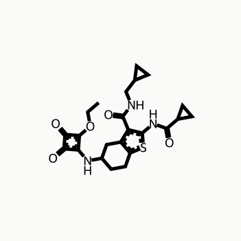 CCOc1c(NC2CCc3sc(NC(=O)C4CC4)c(C(=O)NCC4CC4)c3C2)c(=O)c1=O